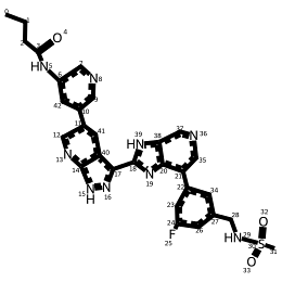 CCCC(=O)Nc1cncc(-c2cnc3[nH]nc(-c4nc5c(-c6cc(F)cc(CNS(C)(=O)=O)c6)cncc5[nH]4)c3c2)c1